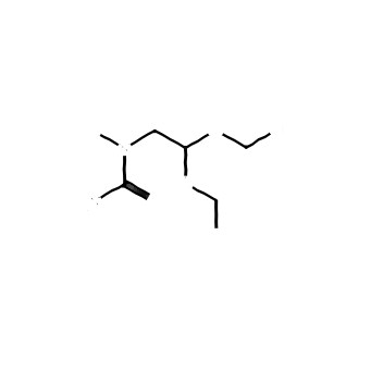 CCOC(CN(C)C(N)=O)OCC